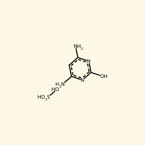 Nc1cc(N)nc(O)n1.O=S(=O)(O)O